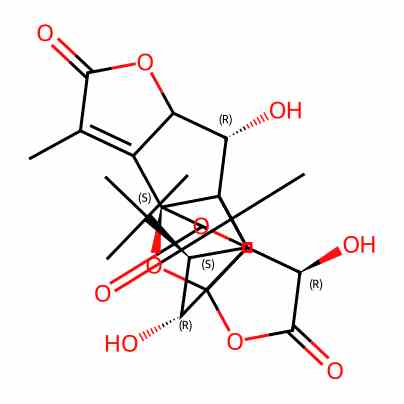 CC1=C2C(OC1=O)[C@H](O)C13C4OC(=O)[C@]21OC1OC(=O)[C@H](O)C13[C@H](C(C)(C)C)[C@H]4O